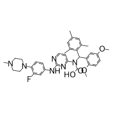 COc1ccc(OC)c(C(c2c(C)cc(C)cc2C)N(C(=O)O)c2ccnc(Nc3ccc(N4CCN(C)CC4)c(F)c3)n2)c1